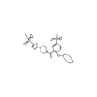 CS(=O)(=O)c1ccc(OC2CCCCC2)c(C(=O)N2CCN(c3ncc(S(C)(=O)=O)s3)CC2)c1